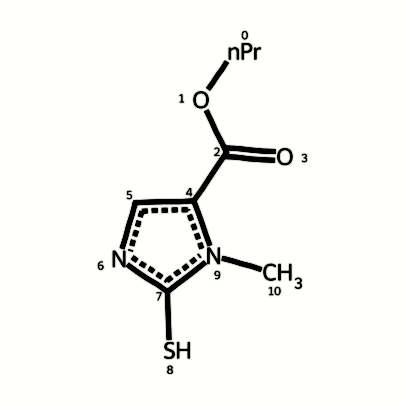 CCCOC(=O)c1cnc(S)n1C